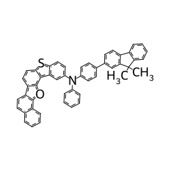 CC1(C)c2ccccc2-c2ccc(-c3ccc(N(c4ccccc4)c4ccc5sc6ccc7c8ccc9ccccc9c8oc7c6c5c4)cc3)cc21